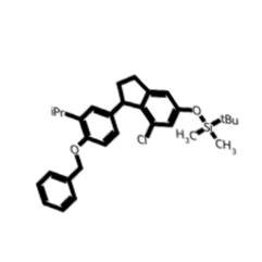 CC(C)c1cc(C2CCc3cc(O[Si](C)(C)C(C)(C)C)cc(Cl)c32)ccc1OCc1ccccc1